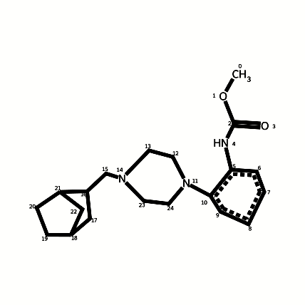 COC(=O)Nc1ccccc1N1CCN(CC2CC3CCC2C3)CC1